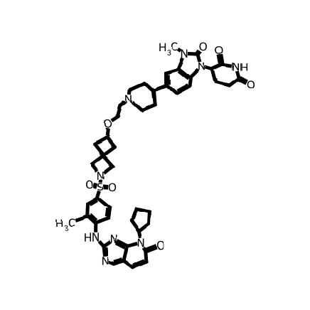 Cc1cc(S(=O)(=O)N2CC3(CC(OCCN4CCC(c5ccc6c(c5)n(C)c(=O)n6C5CCC(=O)NC5=O)CC4)C3)C2)ccc1Nc1ncc2ccc(=O)n(C3CCCC3)c2n1